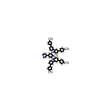 N#Cc1ccc(-c2ccc3c(c2)c2cc(-c4ccc(C#N)cc4)ccc2n3-c2cc(-c3ccncc3)cc(-n3c4ccc(-c5ccc(C#N)cc5)cc4c4cc(-c5ccc(C#N)cc5)ccc43)c2C#N)cc1